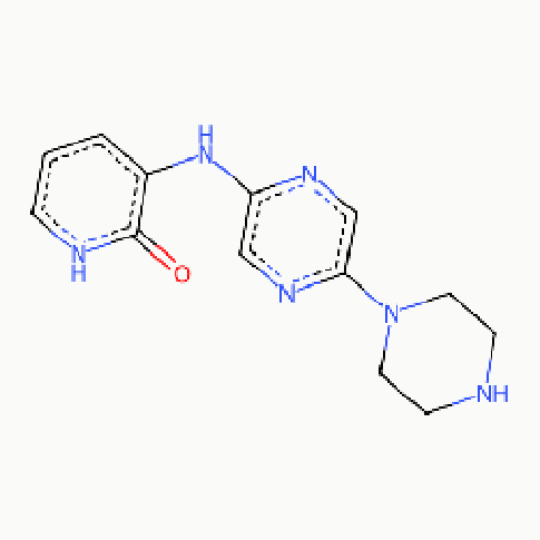 O=c1[nH]cccc1Nc1cnc(N2CCNCC2)cn1